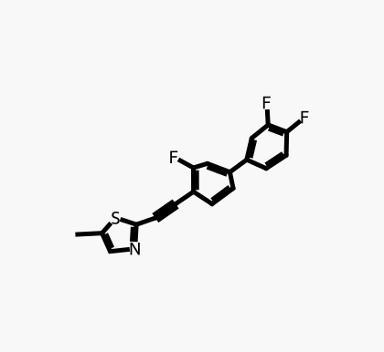 Cc1cnc(C#Cc2ccc(-c3ccc(F)c(F)c3)cc2F)s1